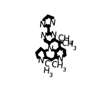 CC1(C)c2ccnc3c2N(c2cnc(-c4ncccn4)nc21)C1C=CC=NC1C3(C)C